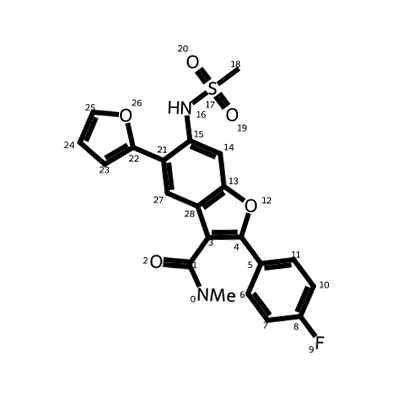 CNC(=O)c1c(-c2ccc(F)cc2)oc2cc(NS(C)(=O)=O)c(-c3ccco3)cc12